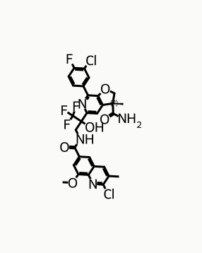 COc1cc(C(=O)NCC(O)(c2cc3c(c(-c4ccc(F)c(Cl)c4)n2)OC[C@]3(C)C(N)=O)C(F)(F)F)cc2cc(C)c(Cl)nc12